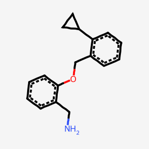 NCc1ccccc1OCc1ccccc1C1CC1